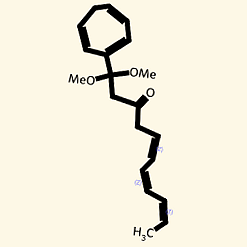 C\C=C/C=C\C=C/CC(=O)CC(OC)(OC)C1=CC=CCC=C1